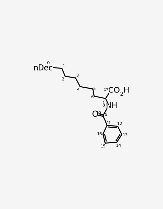 CCCCCCCCCCCCCCCCC(NC(=O)c1ccccc1)C(=O)O